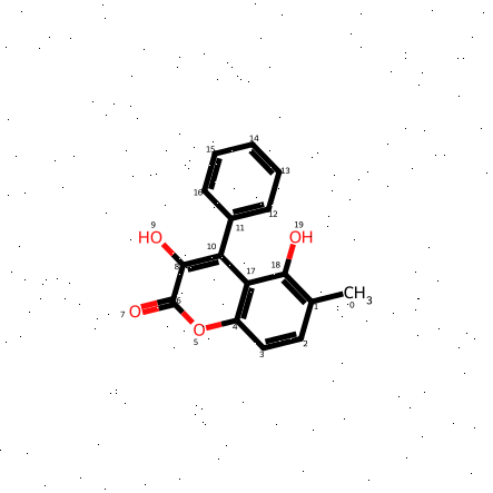 Cc1ccc2oc(=O)c(O)c(-c3ccccc3)c2c1O